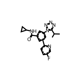 CC(C)c1nnnn1-c1cc(C(=O)NC2CC2)cc(-c2ccc(F)cn2)c1